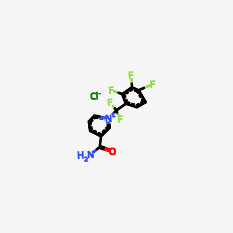 NC(=O)c1ccc[n+](C(F)(F)c2ccc(F)c(F)c2F)c1.[Cl-]